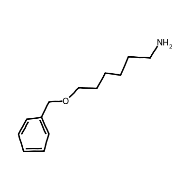 NCCCCCCOCc1ccccc1